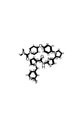 CN(C)C(=O)N1CCC(Oc2ccc(N3CCCC3c3csc(NC(=O)c4cccn4Cc4ccnc(F)c4)n3)cc2)CC1